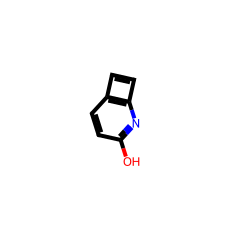 Oc1ccc2c(n1)C=C2